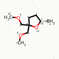 B[C@H]1CCC(COC)(COC)O1